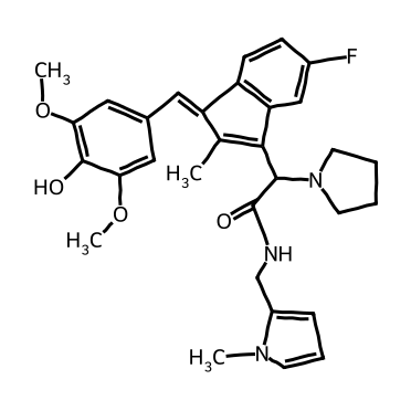 COc1cc(C=C2C(C)=C(C(C(=O)NCc3cccn3C)N3CCCC3)c3cc(F)ccc32)cc(OC)c1O